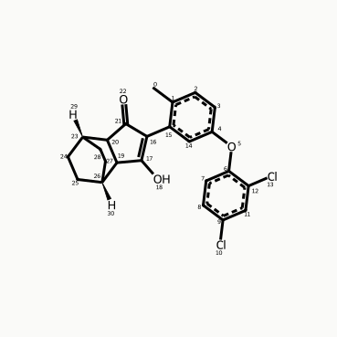 Cc1ccc(Oc2ccc(Cl)cc2Cl)cc1C1=C(O)C2C(C1=O)[C@H]1CC[C@@H]2CC1